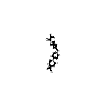 CC(C)C(=O)N1CC2(CC(CN3CCC(N4CCC(C(C)C)CC4)CC3)C2)C1